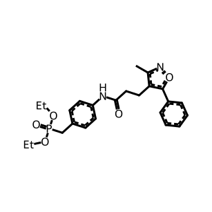 CCOP(=O)(Cc1ccc(NC(=O)CCc2c(C)noc2-c2ccccc2)cc1)OCC